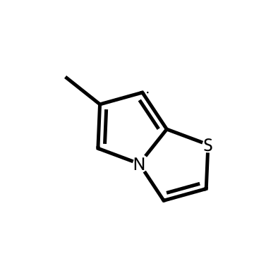 Cc1[c]c2sccn2c1